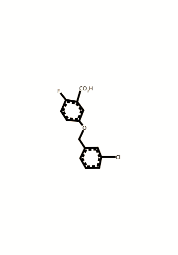 O=C(O)c1cc(OCc2cccc(Cl)c2)ccc1F